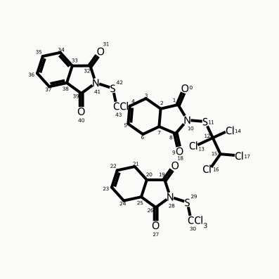 O=C1C2CC=CCC2C(=O)N1SC(Cl)(Cl)C(Cl)Cl.O=C1C2CC=CCC2C(=O)N1SC(Cl)(Cl)Cl.O=C1c2ccccc2C(=O)N1SC(Cl)(Cl)Cl